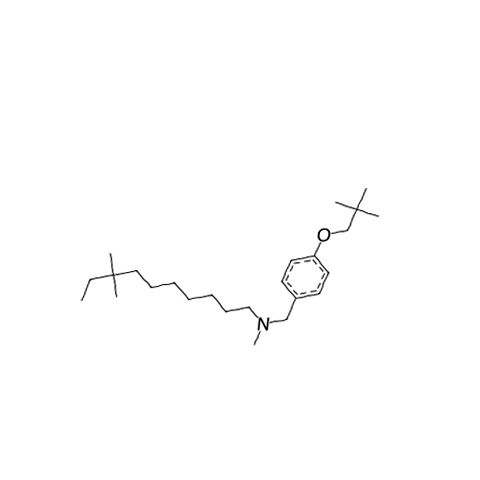 CCC(C)(C)CCCCCCCN(C)Cc1ccc(OCC(C)(C)C)cc1